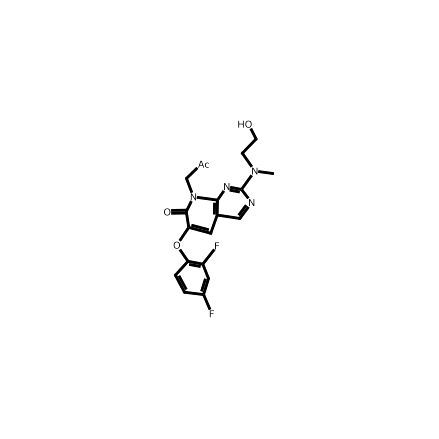 CC(=O)Cn1c(=O)c(Oc2ccc(F)cc2F)cc2cnc(N(C)CCO)nc21